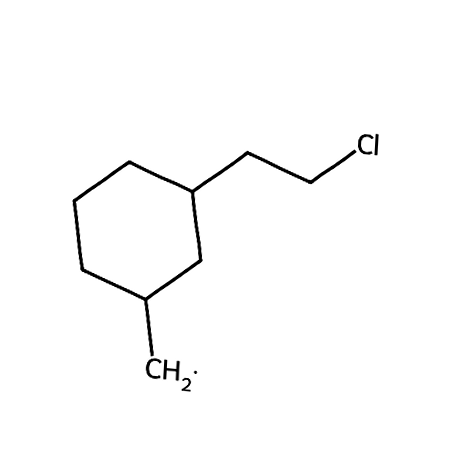 [CH2]C1CCCC(CCCl)C1